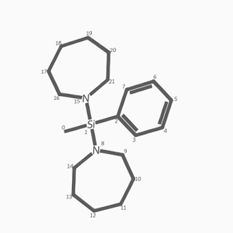 C[Si](c1ccccc1)(N1CCCCCC1)N1CCCCCC1